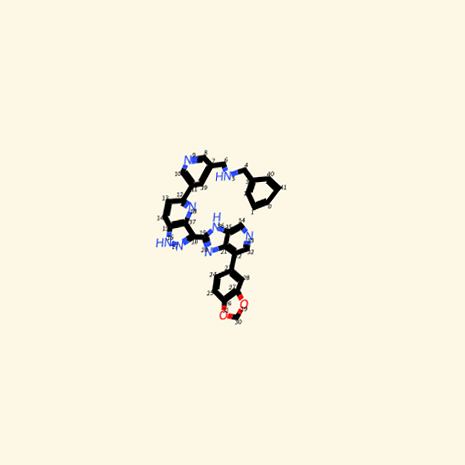 c1ccc(CNCc2cncc(-c3ccc4[nH]nc(-c5nc6c(-c7ccc8c(c7)OCO8)cncc6[nH]5)c4n3)c2)cc1